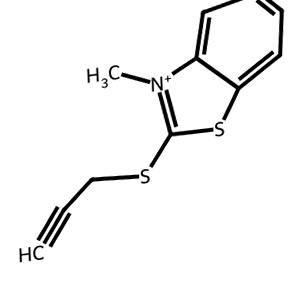 C#CCSc1sc2ccccc2[n+]1C